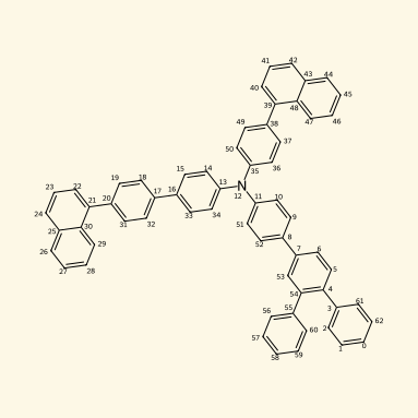 c1ccc(-c2ccc(-c3ccc(N(c4ccc(-c5ccc(-c6cccc7ccccc67)cc5)cc4)c4ccc(-c5cccc6ccccc56)cc4)cc3)cc2-c2ccccc2)cc1